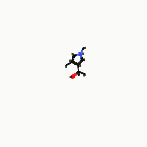 CC(=O)c1cn(C)cc1C